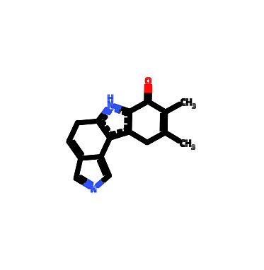 CC1=C(C)C(=O)c2[nH]c3c(c2C1)C1=CN=CC1=CC3